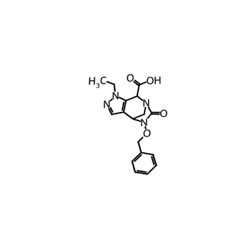 CCn1ncc2c1C(C(=O)O)N1CC2N(OCc2ccccc2)C1=O